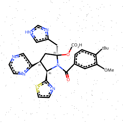 COc1cc(C(=O)N2[C@@H](c3nccs3)[C@@H](c3cnccn3)C[C@@]2(Cc2c[nH]cn2)OC(=O)O)ccc1C(C)(C)C